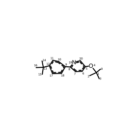 CC(C)(C)Oc1ccc(-c2ccc(C(C)(C)C)cc2)nc1